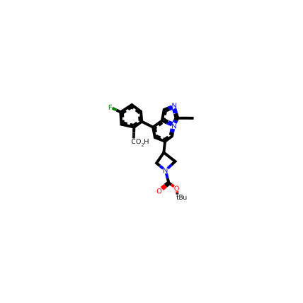 Cc1ncc2c(-c3ccc(F)cc3C(=O)O)cc(C3CN(C(=O)OC(C)(C)C)C3)cn12